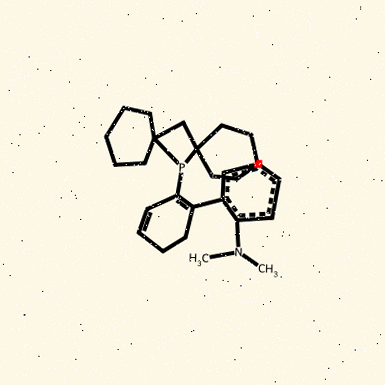 CN(C)c1ccccc1C1=C(P2C3(CCCCC3)CC23CCCCC3)C=CCC1